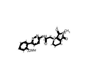 COc1ccccc1-c1ccc(NC(=O)CN2CCCC3=C2C(=O)N(C)C3=O)nn1